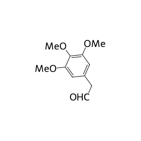 COc1cc(CC=O)cc(OC)c1OC